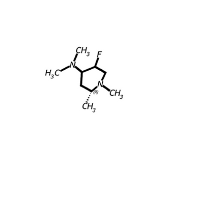 C[C@@H]1CC(N(C)C)C(F)CN1C